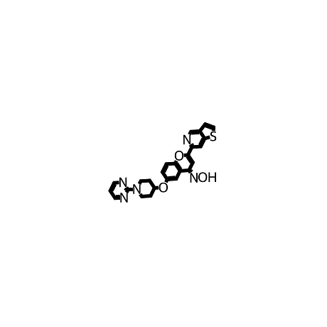 ON=c1cc(-c2cc3sccc3cn2)oc2ccc(OC3CCN(c4ncccn4)CC3)cc12